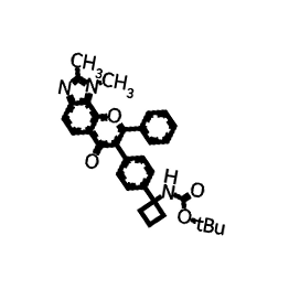 Cc1nc2ccc3c(=O)c(-c4ccc(C5(NC(=O)OC(C)(C)C)CCC5)cc4)c(-c4ccccc4)oc3c2n1C